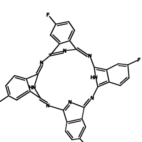 Fc1ccc2c(c1)-c1nc-2nc2[nH]c(nc3nc(nc4[nH]c(n1)c1ccc(F)cc41)-c1ccc(F)cc1-3)c1ccc(F)cc21